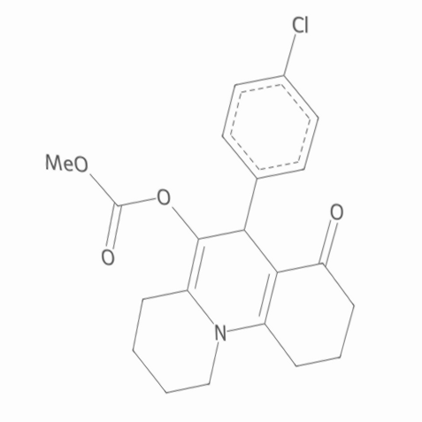 COC(=O)OC1=C2CCCCN2C2=C(C(=O)CCC2)C1c1ccc(Cl)cc1